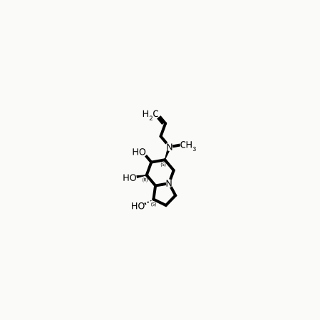 C=CCN(C)[C@H]1CN2CC[C@H](O)C2[C@@H](O)C1O